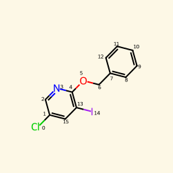 Clc1cnc(OCc2ccccc2)c(I)c1